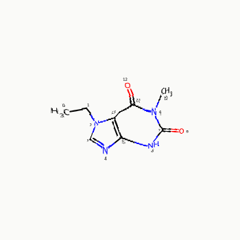 CCn1cnc2[nH]c(=O)n(C)c(=O)c21